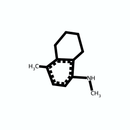 CNc1ccc(C)c2c1CCCC2